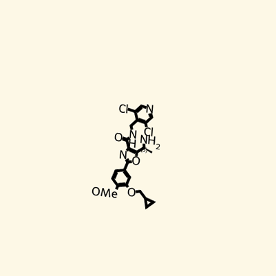 COc1ccc(-c2nc(C(=O)NCc3c(Cl)cncc3Cl)c([C@H](C)N)o2)cc1OCC1CC1